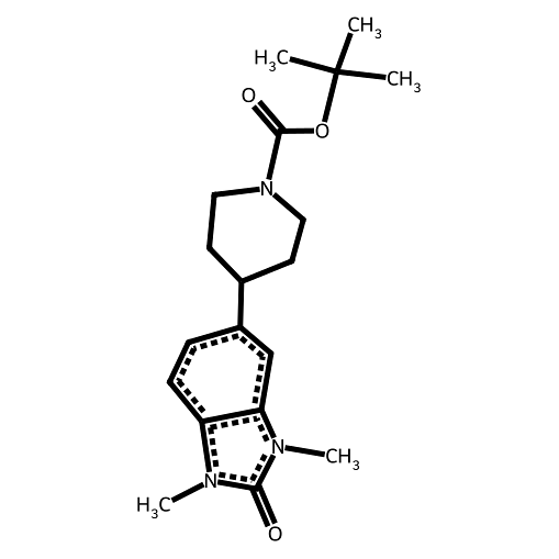 Cn1c(=O)n(C)c2cc(C3CCN(C(=O)OC(C)(C)C)CC3)ccc21